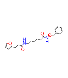 O=C(CCc1ccco1)NCCCCCC(=O)NOCc1ccccc1